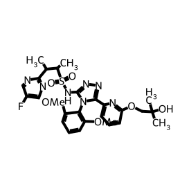 COc1cccc(OC)c1-n1c(NS(=O)(=O)C(C)C(C)c2ncc(F)cn2)nnc1-c1cccc(OCC(C)(C)O)n1